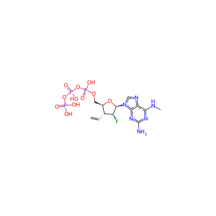 C=C[C@H]1[C@H](F)[C@H](n2cnc3c(NC)nc(N)nc32)O[C@@H]1COP(=O)(O)OP(=O)(O)OP(=O)(O)O